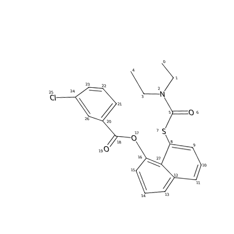 CCN(CC)C(=O)Sc1cccc2cccc(OC(=O)c3cccc(Cl)c3)c12